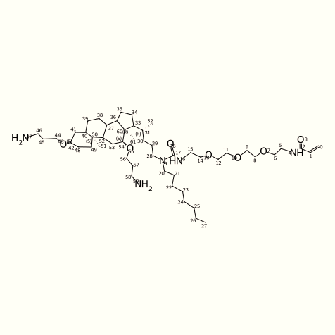 C=CC(=O)NCCOCCOCCOCCNC(=O)N(CCCCCCCC)CCC[C@@H](C)C1CCC2C3CCC4C[C@H](OCCCN)CC[C@]4(C)C3C[C@H](OCCCN)[C@@]21C